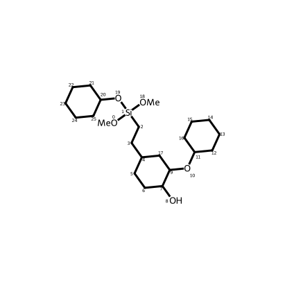 CO[Si](CCC1CCC(O)C(OC2CCCCC2)C1)(OC)OC1CCCCC1